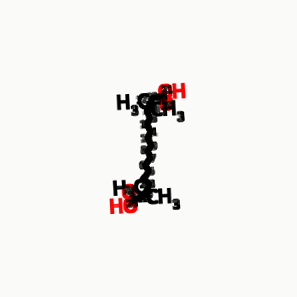 CC(C)(CCCCCCCCCCCCC(C)(C)CC(=O)O)CC(=O)O